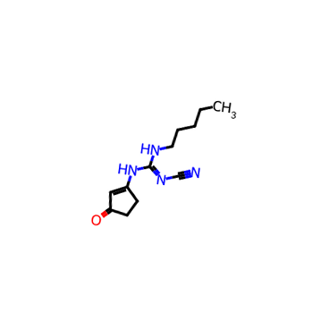 CCCCCNC(=NC#N)NC1=CC(=O)CC1